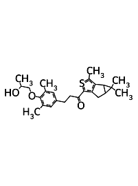 Cc1cc(CCC(=O)c2sc(C)c3c2CC2C3C2(C)C)cc(C)c1OCC(C)O